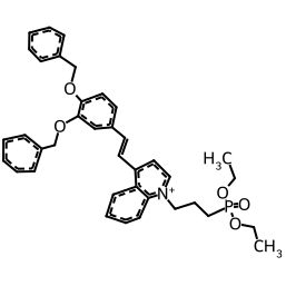 CCOP(=O)(CCC[n+]1ccc(C=Cc2ccc(OCc3ccccc3)c(OCc3ccccc3)c2)c2ccccc21)OCC